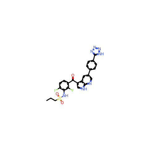 CCCS(=O)(=O)Nc1c(F)ccc(C(=O)c2c[nH]c3ncc(-c4ccc(-c5nnn[nH]5)cc4)cc23)c1F